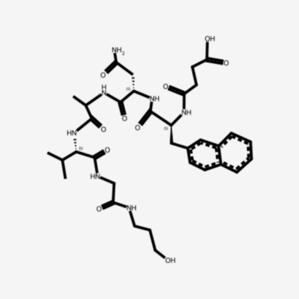 CC(NC(=O)[C@H](CC(N)=O)NC(=O)[C@H](Cc1ccc2ccccc2c1)NC(=O)CCC(=O)O)C(=O)N[C@H](C(=O)NCC(=O)NCCCO)C(C)C